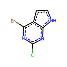 Clc1nc(Br)c2cc[nH]c2n1